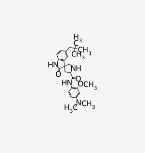 COc1cc(N(C)C)ccc1NC(=O)C1CC2(CN1)C(=O)Nc1ccc(CC(C)(C)C)cc12